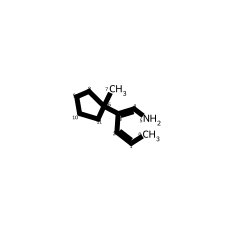 C/C=C\C(=C/N)C1(C)CCCC1